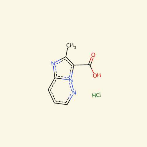 Cc1nc2cccnn2c1C(=O)O.Cl